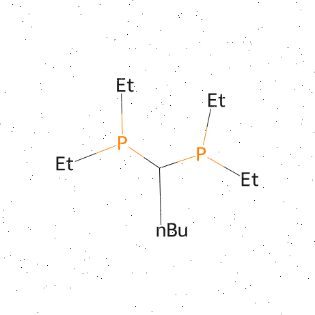 CCCCC(P(CC)CC)P(CC)CC